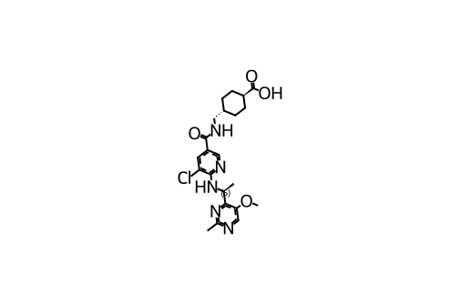 COc1cnc(C)nc1[C@H](C)Nc1ncc(C(=O)NC[C@H]2CC[C@H](C(=O)O)CC2)cc1Cl